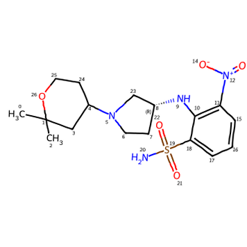 CC1(C)CC(N2CC[C@@H](Nc3c([N+](=O)[O-])cccc3S(N)(=O)=O)C2)CCO1